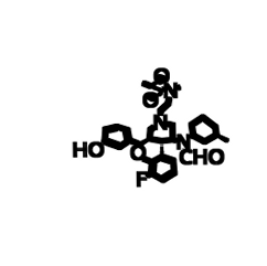 Cc1c(F)cccc1[C@H]1C(N(C=O)[C@@H]2CCC[C@@H](C)C2)CN(CCN(C)S(C)(=O)=O)C[C@@H]1C(=O)c1cccc(O)c1